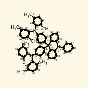 Cc1ccc(C)c(N(c2ccc(C3(c4ccc(N(c5cc(C)ccc5C)c5cc(C)ccc5C)cc4)c4ccccc4N(c4ccccc4)c4ccccc43)cc2)c2cc(C)ccc2C)c1